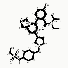 CCN(C(=O)c1cc(F)ccc1-c1cc(C2CCN(CC3CCC(NS(=O)(=O)CC)CC3)C2)cc2cncn12)C(C)C